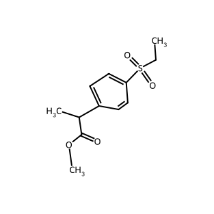 CCS(=O)(=O)c1ccc(C(C)C(=O)OC)cc1